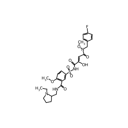 CCN1CCCC1CNC(=O)c1cc(S(=O)(=O)NC(=O)C(O)=CC(=O)N(Cc2ccc(F)cc2)OC)ccc1OC